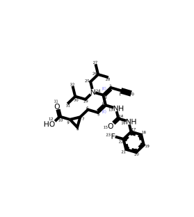 C#C/C=C(\C(=C/CC1CC1C(=O)O)NC(=O)Nc1ccccc1F)N(CC(C)C)CC(C)C